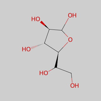 OCC(O)[C@@H]1OC(O)[C@H](O)[C@H]1O